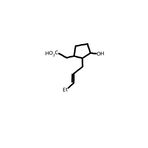 CCC=CCC1C(O)CCC1CC(=O)O